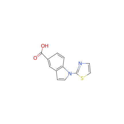 O=C(O)c1ccc2c(ccn2-c2nccs2)c1